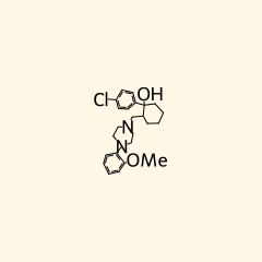 COc1ccccc1N1CCN(CC2CCCCC2(O)c2ccc(Cl)cc2)CC1